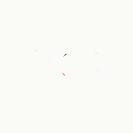 C[C@H]1[C@@H](Oc2ccnc(C#N)c2)CN1C(=O)O